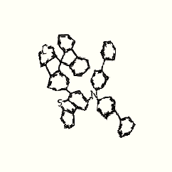 c1ccc(-c2ccc(N(c3ccc(-c4ccccc4)cc3)c3cc(-c4ccc5c(c4)C4(c6ccccc6-c6ccccc64)c4ccccc4-5)c4sc5ccccc5c4c3)cc2)cc1